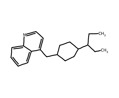 CCC(CC)C1CCC(Cc2ccnc3ccccc23)CC1